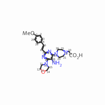 COc1ccc(/C=C/c2nc(N3CCOCC3)c(N)c(N3CCN(CC(=O)O)CC3)n2)cc1